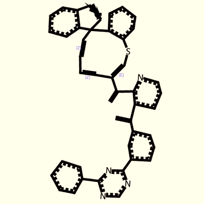 C=C(c1cccc(-c2ncnc(-c3ccccc3)n2)c1)c1cccnc1C(=C)C1=C/Sc2ccccc2C2(\C=C/C=C\1)c1ccccc1-c1ccccc12